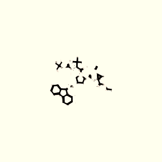 C=C[C@@H]1C[C@]1(NC(=O)[C@@H]1C[C@@H](ON=C2c3ccccc3-c3ccccc32)CN1C(=O)[C@@H](NC(=O)OC(C)(C)C)C(C)(C)C)C(=O)OCC